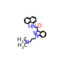 CN(C)CCCn1nc(C(=O)Nc2cccc3ccccc23)c2ccccc21